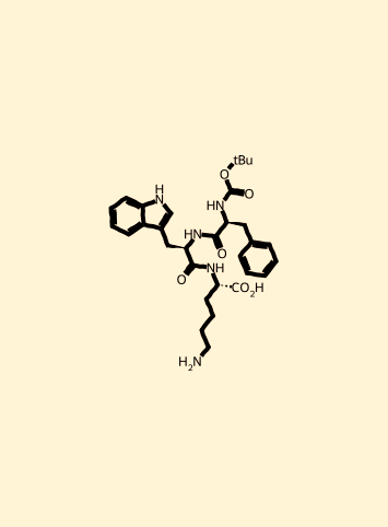 CC(C)(C)OC(=O)N[C@@H](Cc1ccccc1)C(=O)N[C@H](Cc1c[nH]c2ccccc12)C(=O)N[C@@H](CCCCN)C(=O)O